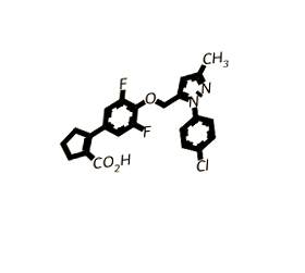 Cc1cc(COc2c(F)cc(C3=C(C(=O)O)CCC3)cc2F)n(-c2ccc(Cl)cc2)n1